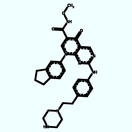 CONC(=O)c1cn(-c2ccc3c(c2)CCC3)c2nc(Nc3ccc(CCN4CCNCC4)cc3)ncc2c1=O